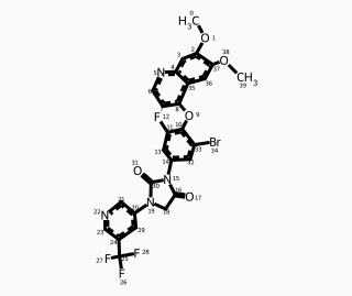 COc1cc2nccc(Oc3c(F)cc(N4C(=O)CN(c5cncc(C(F)(F)F)c5)C4=O)cc3Br)c2cc1OC